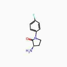 N[C@@H]1CCN(c2ccc(F)cc2)C1=O